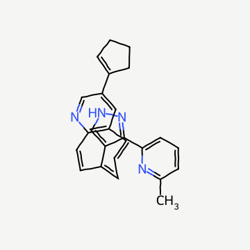 Cc1cccc(-c2n[nH]cc2C2=C\C=C\c3cc(C4=CCCC4)cnc3/C=C\2)n1